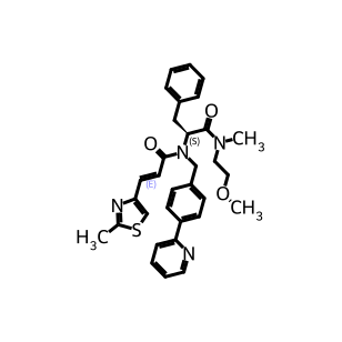 COCCN(C)C(=O)[C@H](Cc1ccccc1)N(Cc1ccc(-c2ccccn2)cc1)C(=O)/C=C/c1csc(C)n1